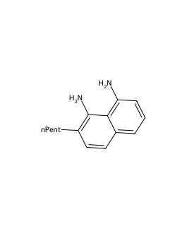 CCCCCc1ccc2cccc(N)c2c1N